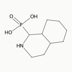 O=P(O)(O)C1NCCC2CCCCC21